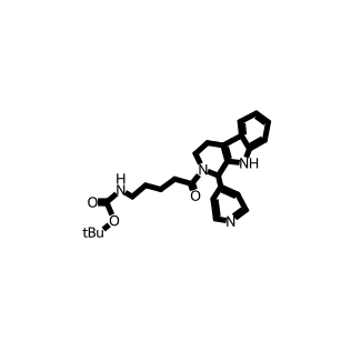 CC(C)(C)OC(=O)NCCCCC(=O)N1CCc2c([nH]c3ccccc23)C1c1ccncc1